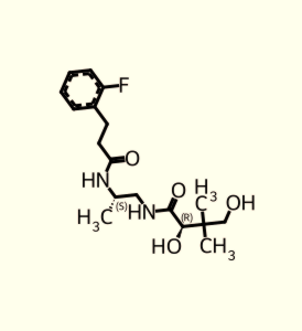 C[C@@H](CNC(=O)[C@H](O)C(C)(C)CO)NC(=O)CCc1ccccc1F